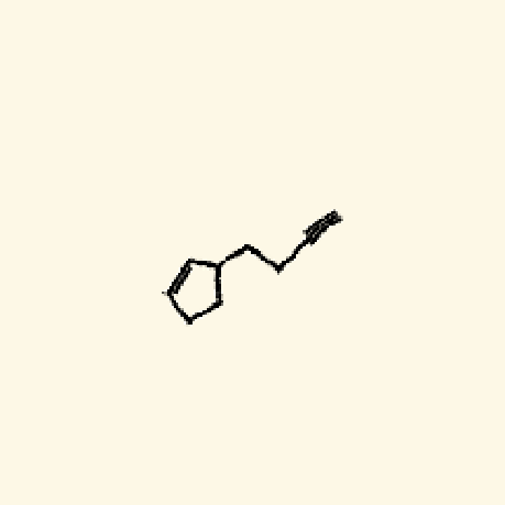 C#CCCC1C=[C]CC1